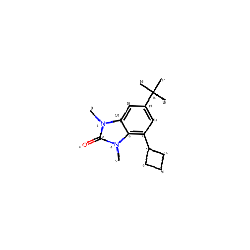 Cn1c(=O)n(C)c2c(C3CCC3)cc(C(C)(C)C)cc21